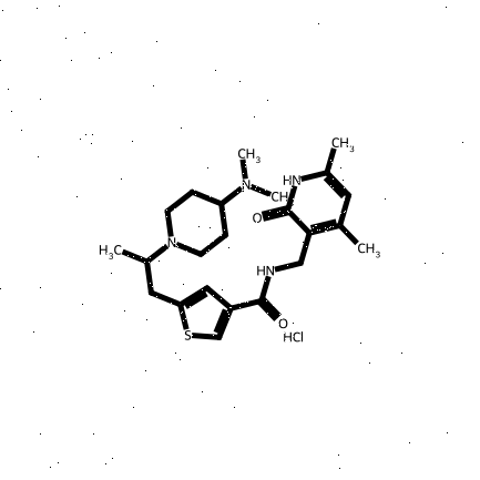 Cc1cc(C)c(CNC(=O)c2csc(CC(C)N3CCC(N(C)C)CC3)c2)c(=O)[nH]1.Cl